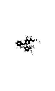 CCC(=O)c1cn2c(cc1=O)-c1c3cccc(F)c3nn1C1CCC(C)(C)C12